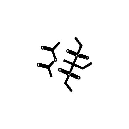 CC(=O)OC(C)=O.CCC(C)(S(=O)(=O)CC)S(=O)(=O)CC